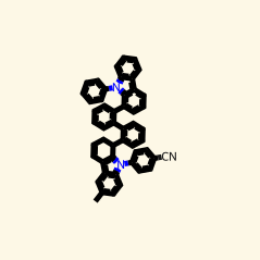 Cc1ccc2c(c1)c1c(n2-c2ccc(C#N)cc2)C(c2ccccc2-c2ccccc2-c2cccc3c4ccccc4n(-c4ccccc4)c23)CC=C1